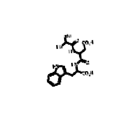 CCCCC(S)C(=O)NC(CC(=O)O)C(=O)NC(Cc1c[nH]c2ccccc12)C(=O)O